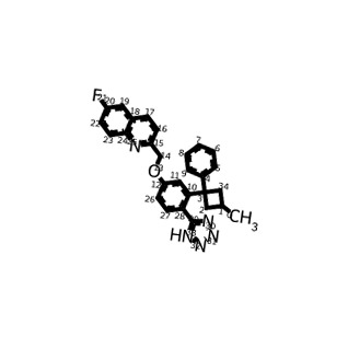 CC1CC(c2ccccc2)(c2cc(OCc3ccc4cc(F)ccc4n3)ccc2-c2nnn[nH]2)C1